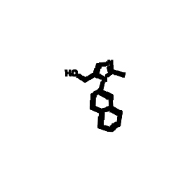 Cc1ncc(CO)n1-c1ccc2ccccc2c1